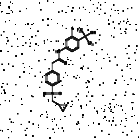 O=C(Cc1ccc(S(=O)(=O)CC2CC2)cc1)Nc1ccc(C(O)(C(F)(F)F)C(F)(F)F)c(F)c1